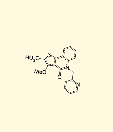 COc1c(C(=O)O)sc2c1c(=O)n(Cc1ccccn1)c1ccccc21